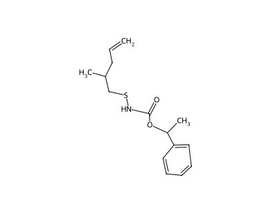 C=CCC(C)CSNC(=O)OC(C)c1ccccc1